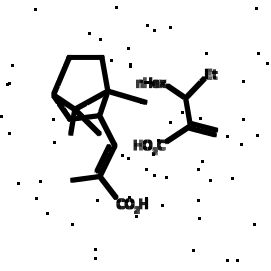 C=C(C(=O)O)C(CC)CCCCCC.CC(=CC1CC2CCC1(C)C2(C)C)C(=O)O